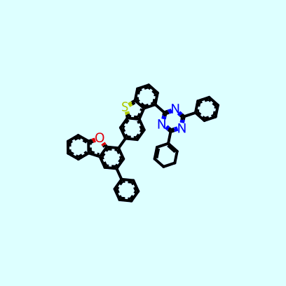 C1=CC(c2nc(-c3ccccc3)nc(-c3cccc4sc5cc(-c6cc(-c7ccccc7)cc7c6oc6ccccc67)ccc5c34)n2)=CCC1